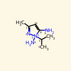 CC1=N[N+](N)(C(C)C)C(N)=C1